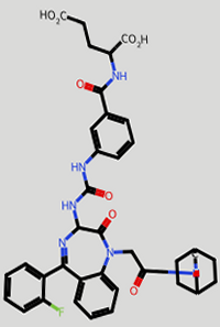 O=C(O)CCC(NC(=O)c1cccc(NC(=O)NC2N=C(c3ccccc3F)c3ccccc3N(CC(=O)N3CC4CCC(CC4)C3)C2=O)c1)C(=O)O